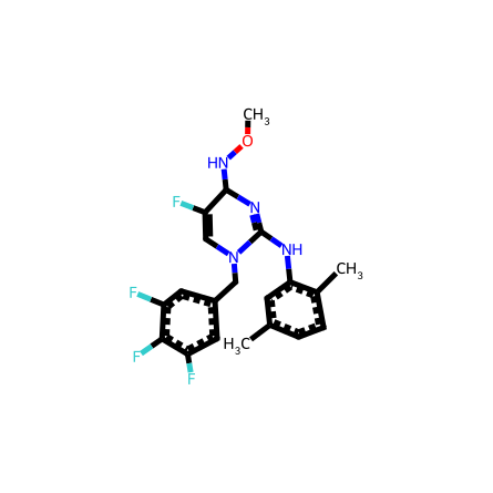 CONC1N=C(Nc2cc(C)ccc2C)N(Cc2cc(F)c(F)c(F)c2)C=C1F